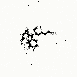 CCCCCN(CC)C(=S)N1CCNC(C)C1(C)N1CC(=O)NC1=S